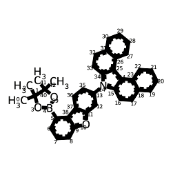 CC1(C)OB(c2cccc3oc4cc(-n5c6ccc7ccccc7c6c6c7ccccc7ccc65)ccc4c23)OC1(C)C